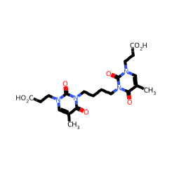 Cc1cn(CCC(=O)O)c(=O)n(CCCCn2c(=O)c(C)cn(CCC(=O)O)c2=O)c1=O